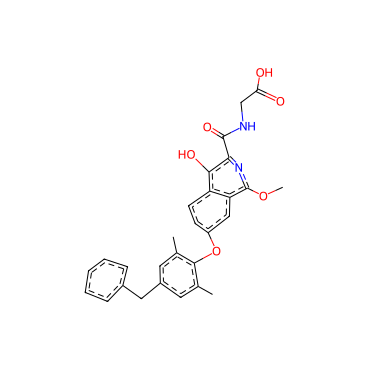 COc1nc(C(=O)NCC(=O)O)c(O)c2ccc(Oc3c(C)cc(Cc4ccccc4)cc3C)cc12